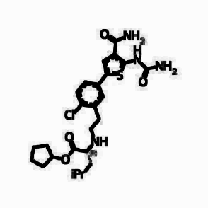 CC(C)C[C@@H](NCCc1cc(-c2cc(C(N)=O)c(NC(N)=O)s2)ccc1Cl)C(=O)OC1CCCC1